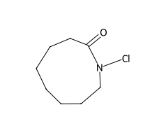 O=C1CCCCCCCN1Cl